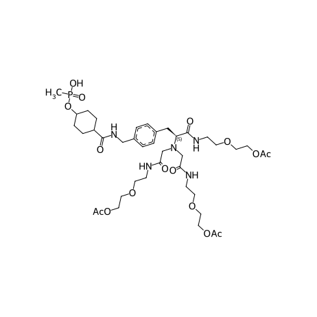 CC(=O)OCCOCCNC(=O)CN(CC(=O)NCCOCCOC(C)=O)[C@@H](Cc1ccc(CNC(=O)C2CCC(OP(C)(=O)O)CC2)cc1)C(=O)NCCOCCOC(C)=O